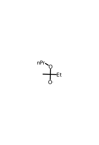 CCCOC(C)([O])CC